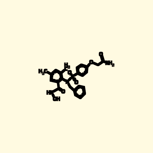 Cc1cc(C)c(N(Cc2ccccc2)S(=O)(=O)c2ccc(OCC(N)=O)cc2)c(C(=O)NO)c1